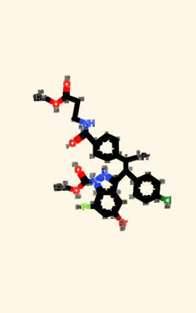 CCCC(c1ccc(C(=O)NCCC(=O)OC(C)(C)C)cc1)C(c1ccc(Cl)cc1)c1nn(C(=O)OC(C)(C)C)c2c(F)cc(Br)cc12